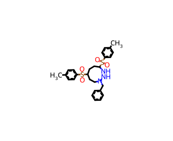 Cc1ccc(S(=O)(=O)C2CCC(S(=O)(=O)c3ccc(C)cc3)NNN(Cc3ccccc3)CC2)cc1